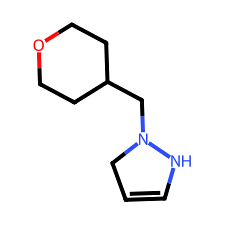 C1=CNN(CC2CCOCC2)C1